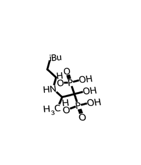 CCC(C)CCNC(C)C(O)(P(=O)(O)O)P(=O)(O)O